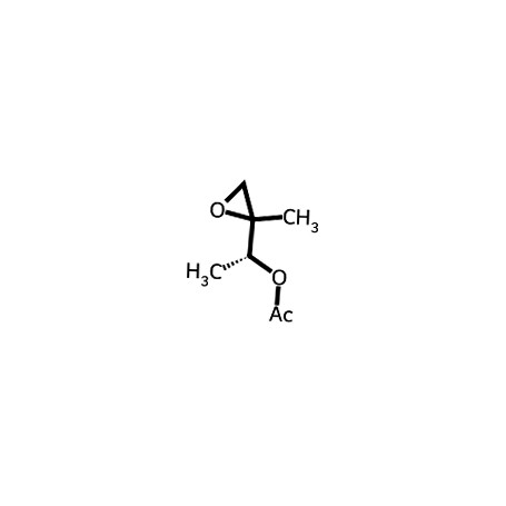 CC(=O)O[C@H](C)C1(C)CO1